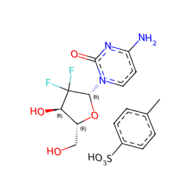 Cc1ccc(S(=O)(=O)O)cc1.Nc1ccn([C@@H]2O[C@H](CO)[C@@H](O)C2(F)F)c(=O)n1